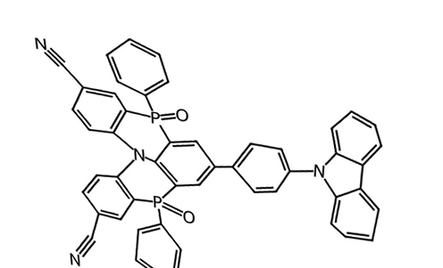 N#Cc1ccc2c(c1)P(=O)(c1ccccc1)c1cc(-c3ccc(-n4c5ccccc5c5ccccc54)cc3)cc3c1N2c1ccc(C#N)cc1P3(=O)c1ccccc1